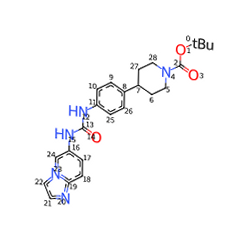 CC(C)(C)OC(=O)N1CCC(c2ccc(NC(=O)Nc3ccc4nccn4c3)cc2)CC1